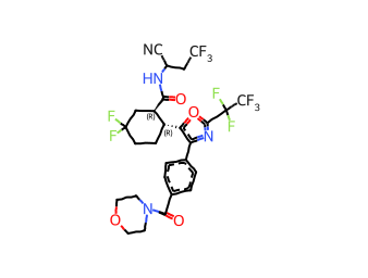 N#CC(CC(F)(F)F)NC(=O)[C@@H]1CC(F)(F)CC[C@H]1c1oc(C(F)(F)C(F)(F)F)nc1-c1ccc(C(=O)N2CCOCC2)cc1